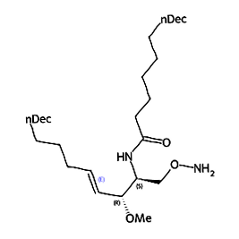 CCCCCCCCCCCCC/C=C/[C@@H](OC)[C@H](CON)NC(=O)CCCCCCCCCCCCCCC